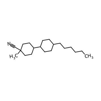 CCCCCCC1CCC(C2CCC(C)(C#N)CC2)CC1